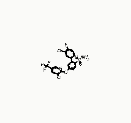 NS(=O)(=O)c1ccc(Oc2ncc(C(F)(F)F)cc2Cl)cc1-c1ccc(F)c(Cl)c1